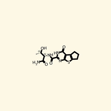 C[C@H](O)[C@H](NC(=O)c1nc2sc3c(c2c(=O)[nH]1)CCC3)C(N)=O